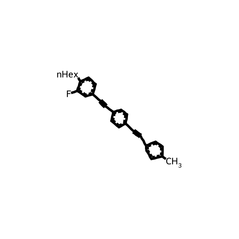 CCCCCCc1ccc(C#Cc2ccc(C#Cc3ccc(C)cc3)cc2)cc1F